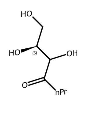 CCCC(=O)C(O)[C@@H](O)CO